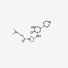 CN(C)C/C=C/C(=O)N1CCC(Nc2cc(-c3ccncc3)c[nH]c2=O)C1